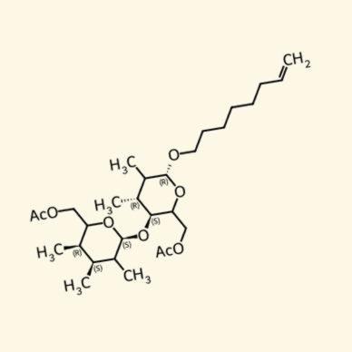 C=CCCCCCCO[C@@H]1OC(COC(C)=O)[C@@H](O[C@@H]2OC(COC(C)=O)[C@H](C)[C@H](C)C2C)[C@H](C)C1C